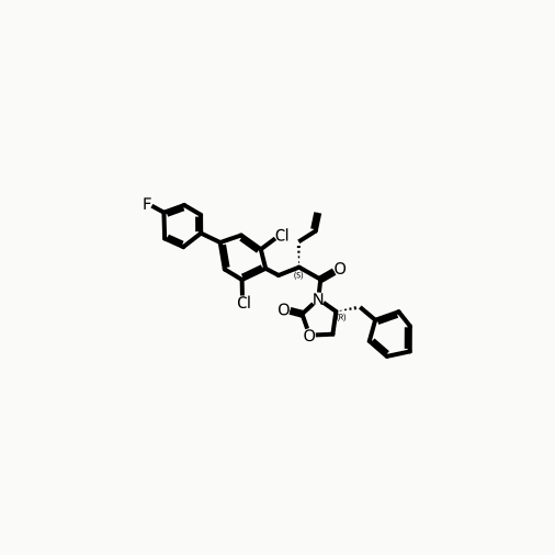 C=CC[C@@H](Cc1c(Cl)cc(-c2ccc(F)cc2)cc1Cl)C(=O)N1C(=O)OC[C@H]1Cc1ccccc1